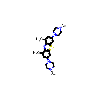 CC(=O)N1CCN(c2cc(C)c3nc4c(C)cc(N5CCN(C(C)=O)CC5)cc4[s+]c3c2)CC1.[I-]